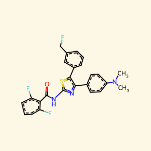 CN(C)c1ccc(-c2nc(NC(=O)c3c(F)cccc3F)sc2-c2cccc(CF)c2)cc1